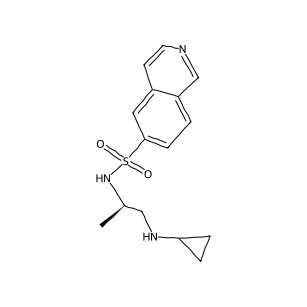 C[C@H](CNC1CC1)NS(=O)(=O)c1ccc2cnccc2c1